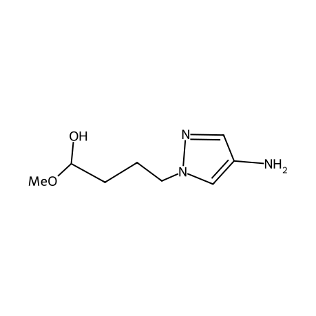 COC(O)CCCn1cc(N)cn1